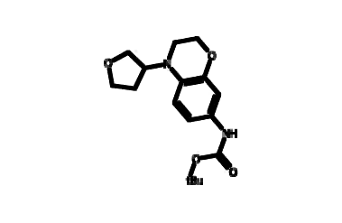 CC(C)(C)OC(=O)Nc1ccc2c(c1)OCCN2C1CCOC1